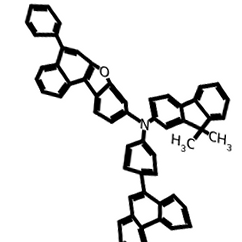 CC1(C)c2ccccc2-c2ccc(N(c3ccc(-c4cc5ccccc5c5ccccc45)cc3)c3ccc4c(c3)oc3cc(-c5ccccc5)c5ccccc5c34)cc21